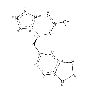 O=C(O)N[C@@H](Cc1ccc2c(c1)CCO2)c1nn[nH]n1